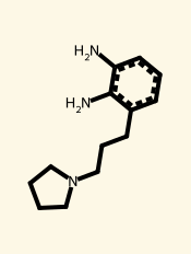 Nc1cccc(CCCN2CCCC2)c1N